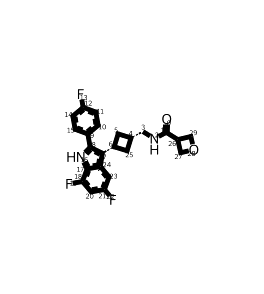 O=C(NC[C@H]1C[C@@H](c2c(-c3ccc(F)cc3)[nH]c3c(F)cc(F)cc32)C1)C1COC1